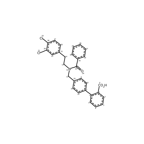 O=C(O)c1ccccc1-c1ccc(CN(CCc2ccc(Cl)c(Cl)c2)C(=O)c2ccccc2)cc1